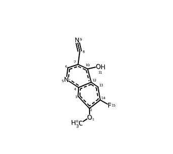 COc1cc2ncc(C#N)c(O)c2cc1F